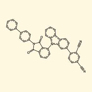 N#Cc1ccc(-c2ccc3c4ccccc4n(-c4cccc5c4C(=O)N(c4ccc(-c6ccccc6)cc4)C5=O)c3c2)c(C#N)c1